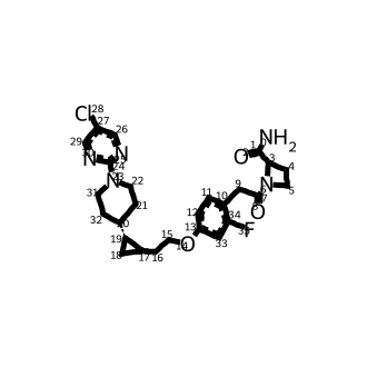 NC(=O)C1CCN1C(=O)Cc1ccc(OCCC2C[C@@H]2C2CCN(c3ncc(Cl)cn3)CC2)cc1F